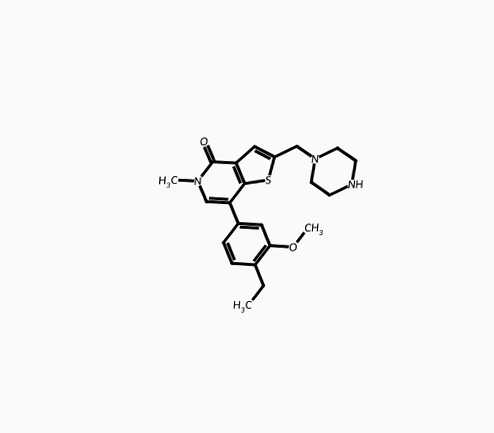 CCc1ccc(-c2cn(C)c(=O)c3cc(CN4CCNCC4)sc23)cc1OC